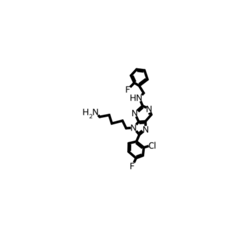 NCCCCCn1c(-c2ccc(F)cc2Cl)nc2cnc(NCc3ccccc3F)nc21